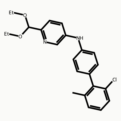 CCOC(OCC)c1ccc(Nc2ccc(-c3c(C)cccc3Cl)cc2)cn1